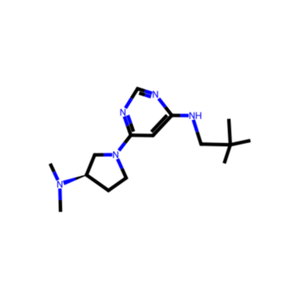 CN(C)[C@@H]1CCN(c2cc(NCC(C)(C)C)ncn2)C1